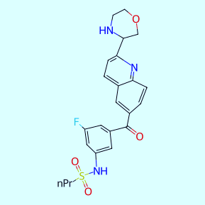 CCCS(=O)(=O)Nc1cc(F)cc(C(=O)c2ccc3nc(C4COCCN4)ccc3c2)c1